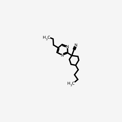 CCCCC1CCC(C#N)(c2ncc(CCC)cn2)CC1